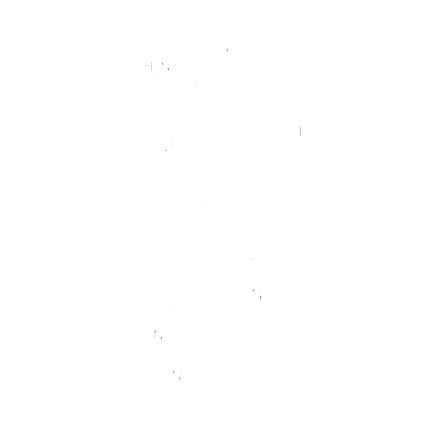 Cn1ncc2ncc(CCc3c(F)ccc(N)c3F)cc21